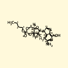 CCCCO[P@@]1(=O)OC[C@H]2O[C@@H](n3cnc4c(O)nc(N)nc43)[C@](C)(F)[C@@H]2O1